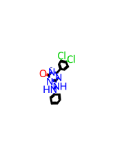 Cn1c(-c2ccc(Cl)c(Cl)c2)nc(NNc2ccccc2)nc1=O